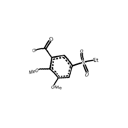 CCS(=O)(=O)c1cc(OC)c(OC)c(C(=O)Cl)c1